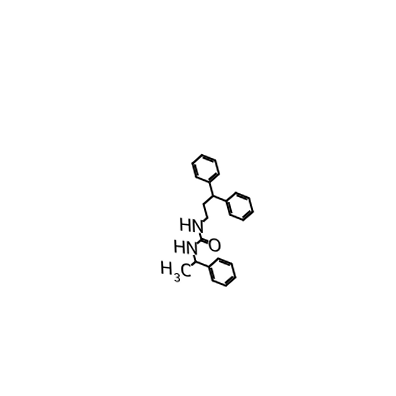 CC(NC(=O)NCCC(c1ccccc1)c1ccccc1)c1ccccc1